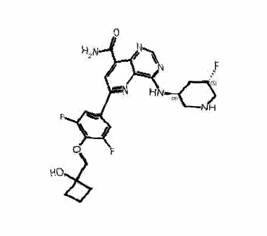 NC(=O)c1cc(-c2cc(F)c(OCC3(O)CCC3)c(F)c2)nc2c(N[C@@H]3CNC[C@@H](F)C3)ncnc12